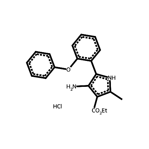 CCOC(=O)c1c(C)[nH]c(-c2ccccc2Oc2ccccc2)c1N.Cl